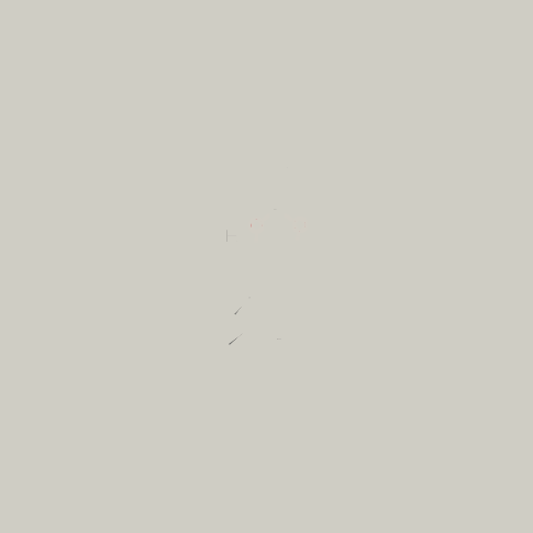 C=C1CCC2[C@]3(C)COC4(CCCC4)O[C@@H]3CC[C@@]2(C)[C@@H]1CC